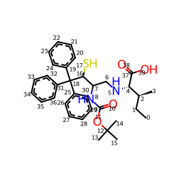 CC[C@H](C)[C@H](NCC(NC(=O)OC(C)(C)C)C(S)C(c1ccccc1)(c1ccccc1)c1ccccc1)C(=O)O